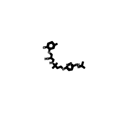 CC(C)=NNc1ccc(OCCC(C)(C)NCC(O)COc2cc(C)ccc2Cl)nn1